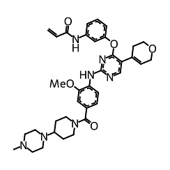 C=CC(=O)Nc1cccc(Oc2nc(Nc3ccc(C(=O)N4CCC(N5CCN(C)CC5)CC4)cc3OC)ncc2C2=CCOCC2)c1